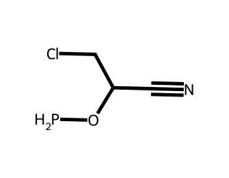 N#CC(CCl)OP